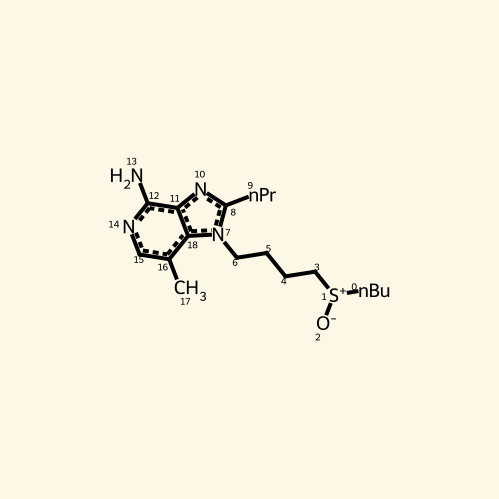 CCCC[S+]([O-])CCCCn1c(CCC)nc2c(N)ncc(C)c21